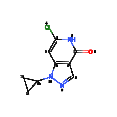 O=c1[nH]c(Cl)cc2c1cnn2C1CC1